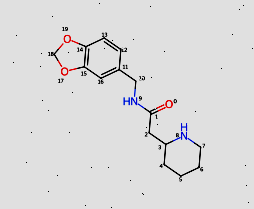 O=C(CC1CCCCN1)NCc1ccc2c(c1)OCO2